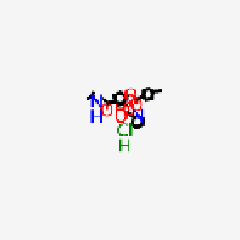 Cc1ccc(C(=O)Oc2ccc(C(O)CNC(C)C)cc2OC(=O)c2ccccn2)cc1.Cl